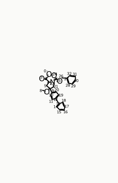 COC(=O)C1CC(OC)(c2ccc(-c3ccccc3)cc2)CN1C(=O)OCc1ccccc1